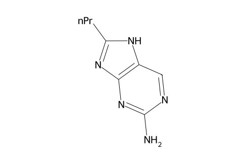 CCCc1nc2nc(N)ncc2[nH]1